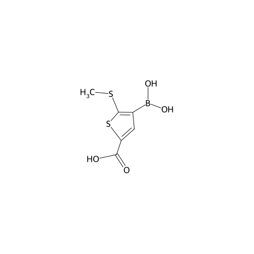 CSc1sc(C(=O)O)cc1B(O)O